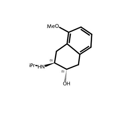 COc1cccc2c1C[C@H](NC(C)C)[C@@H](O)C2